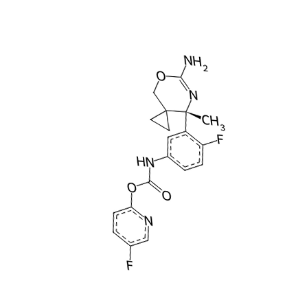 C[C@]1(c2cc(NC(=O)Oc3ccc(F)cn3)ccc2F)N=C(N)OCC12CC2